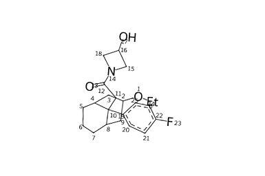 CCOC1CC2CCCC(C1)C2(CC(=O)N1CC(O)C1)c1ccc(F)cc1